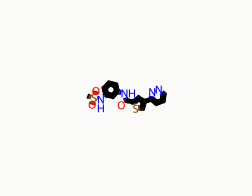 CS(=O)(=O)Nc1cccc(NC(=O)c2cc(-c3cccnn3)cs2)c1